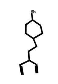 [CH]=CC(C=C)CCC1CCC(C(C)(C)C)CC1